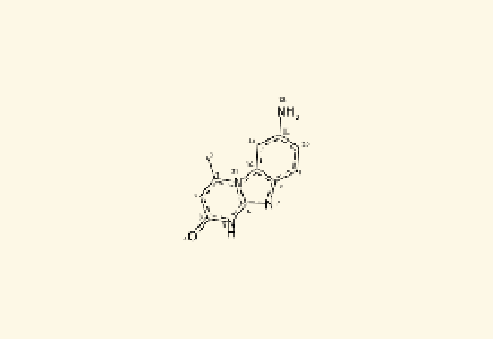 Cc1cc(=O)[nH]c2nc3ccc(N)cc3n12